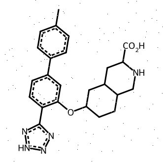 Cc1ccc(-c2ccc(-c3nn[nH]n3)c(OC3CCC4CNC(C(=O)O)CC4C3)c2)cc1